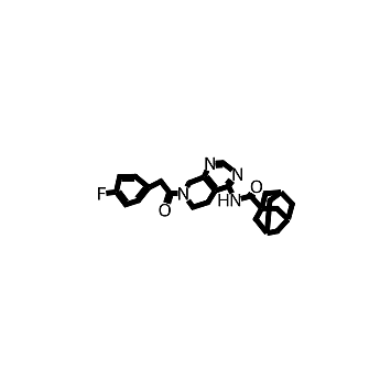 O=C(Cc1ccc(F)cc1)N1CCc2c(ncnc2NC(=O)C23CC4CC(CC(C4)C2)C3)C1